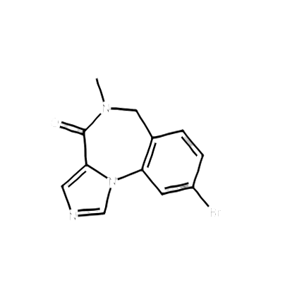 CN1Cc2ccc(Br)cc2-n2cncc2C1=O